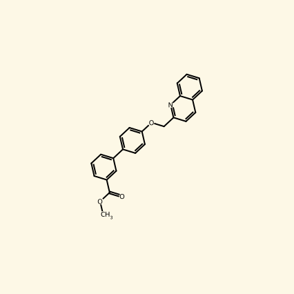 COC(=O)c1cccc(-c2ccc(OCc3ccc4ccccc4n3)cc2)c1